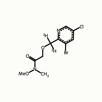 [2H]C([2H])(OCC(=O)N(C)OC)c1ncc(Cl)cc1Br